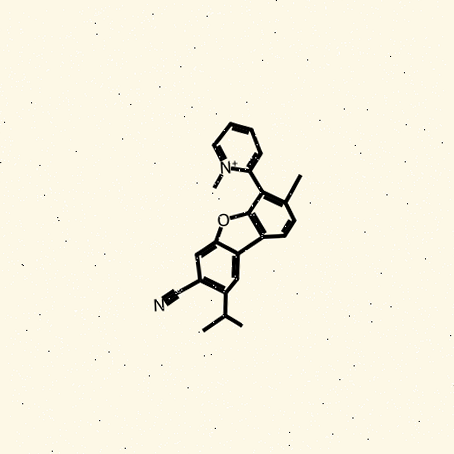 Cc1ccc2c(oc3cc(C#N)c(C(C)C)cc32)c1-c1cccc[n+]1C